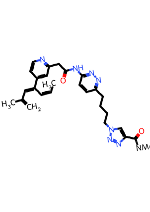 C=C(C)/C=C(\C=C/C)c1ccnc(CC(=O)Nc2ccc(CCCCn3cc(C(=O)NC)nn3)nn2)c1